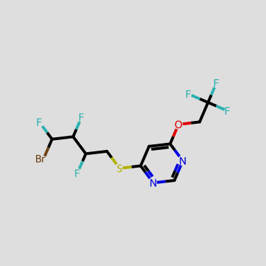 FC(Br)C(F)C(F)CSc1cc(OCC(F)(F)F)ncn1